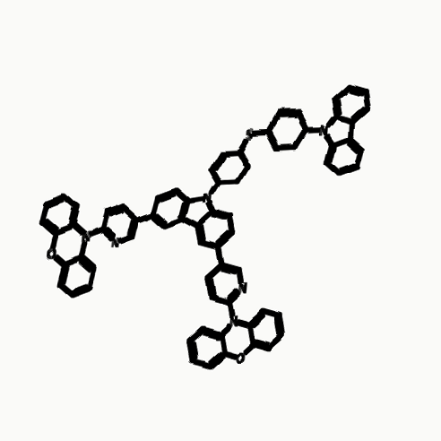 C1=CC(n2c3ccccc3c3ccccc32)CCC1SC1C=CC(n2c3ccc(-c4ccc(N5c6ccccc6Oc6ccccc65)nc4)cc3c3cc(-c4ccc(N5c6ccccc6Oc6ccccc65)nc4)ccc32)CC1